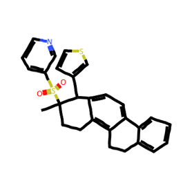 CC1(S(=O)(=O)c2cccnc2)CCc2c(ccc3c2CCc2ccccc2-3)C1c1ccsc1